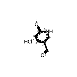 Cl.O=Cc1ccc(=O)[nH]c1